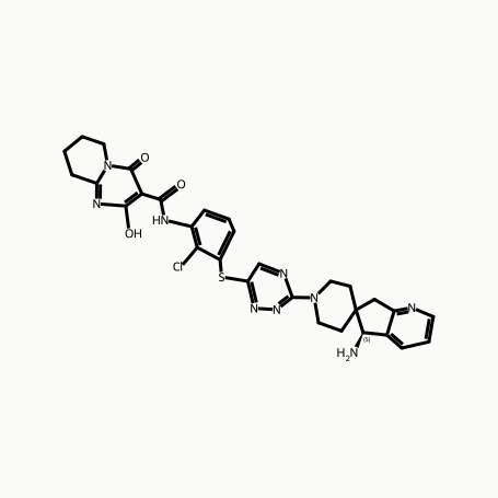 N[C@@H]1c2cccnc2CC12CCN(c1ncc(Sc3cccc(NC(=O)c4c(O)nc5n(c4=O)CCCC5)c3Cl)nn1)CC2